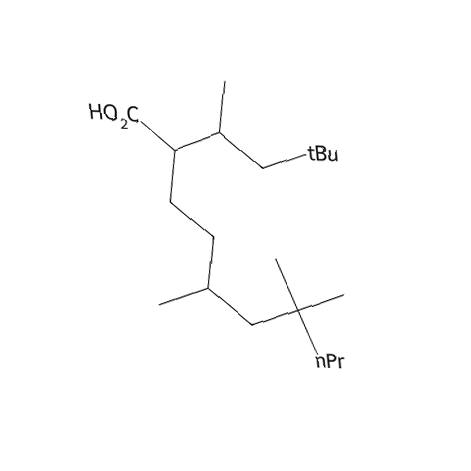 CCCC(C)(C)CC(C)CCC(C(=O)O)C(C)CC(C)(C)C